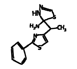 CC(c1csc(-c2ccccc2)n1)C1(N)NN=CS1